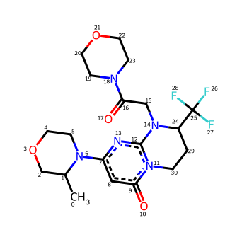 CC1COCCN1c1cc(=O)n2c(n1)N(CC(=O)N1CCOCC1)C(C(F)(F)F)CC2